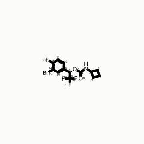 O=C(NC1CCC1)O[C@@H](c1ccc(F)c(Br)c1)C(F)(F)F